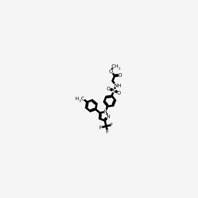 COC(=O)CNS(=O)(=O)c1ccc(-n2nc(C(F)(F)F)cc2-c2ccc(C)cc2)cc1